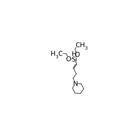 CCO[SiH](C=CCCN1CCCCC1)OCC